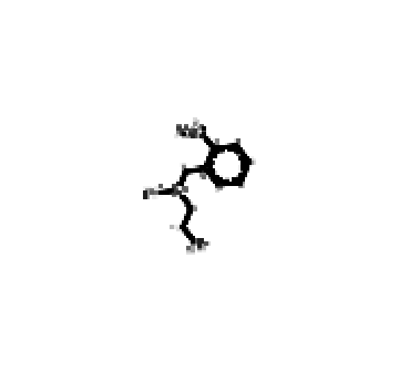 COc1ccccc1CN(CCC(C)C)C(C)C